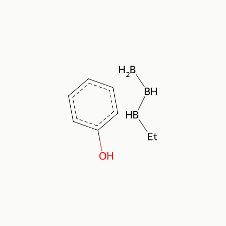 BBBCC.Oc1ccccc1